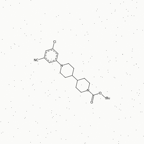 CC(C)(C)OC(=O)N1CCC(C2CCN(c3cc(Cl)cc(C#N)c3)CC2)CC1